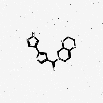 O=C(c1csc(-c2cn[nH]c2)c1)N1CC=C2OCCOC2C1